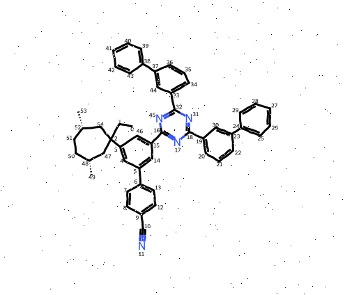 CCC1(c2cc(-c3ccc(C#N)cc3)cc(-c3nc(-c4cccc(-c5ccccc5)c4)nc(-c4cccc(-c5ccccc5)c4)n3)c2)C[C@H](C)CC[C@H](C)C1